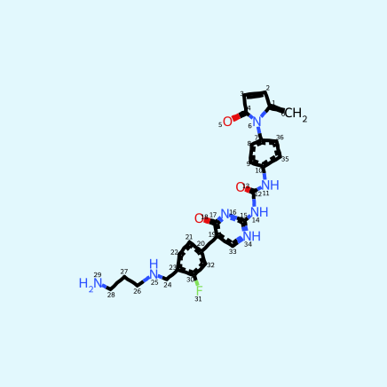 C=C1C=CC(=O)N1c1ccc(NC(=O)Nc2nc(=O)c(-c3ccc(CNCCCN)c(F)c3)c[nH]2)cc1